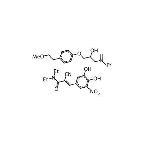 CCN(CC)C(=O)/C(C#N)=C/c1cc(O)c(O)c([N+](=O)[O-])c1.COCCc1ccc(OCC(O)CNC(C)C)cc1